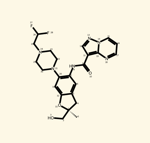 C[C@@]1(CO)Cc2cc(NC(=O)c3cnn4cccnc34)c(N3CCN(CC(F)F)CC3)cc2O1